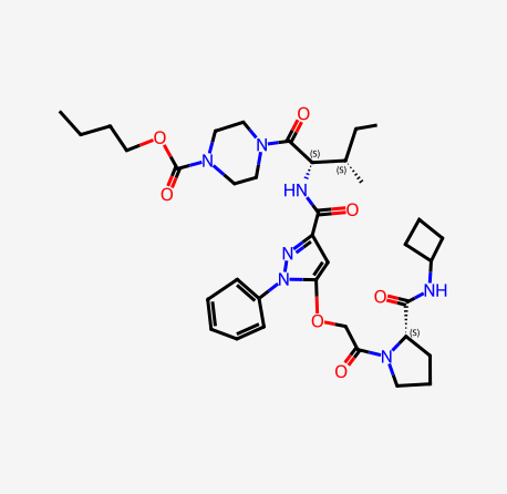 CCCCOC(=O)N1CCN(C(=O)[C@@H](NC(=O)c2cc(OCC(=O)N3CCC[C@H]3C(=O)NC3CCC3)n(-c3ccccc3)n2)[C@@H](C)CC)CC1